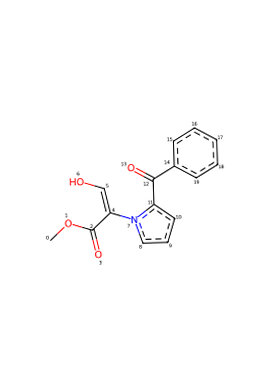 COC(=O)C(=CO)n1cccc1C(=O)c1ccccc1